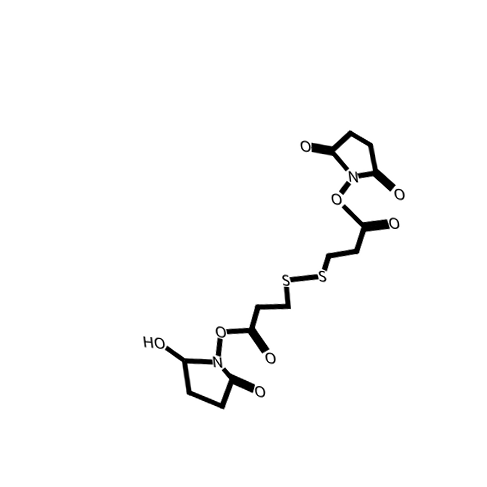 O=C(CCSSCCC(=O)ON1C(=O)CCC1O)ON1C(=O)CCC1=O